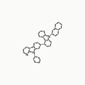 c1ccc(-n2c3cc(-c4cccc5c4c4ccccc4n5-c4ccc5ccccc5c4)ccc3c3cccnc32)cc1